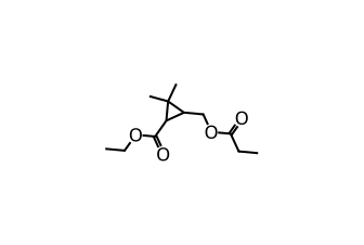 CCOC(=O)C1C(COC(=O)CC)C1(C)C